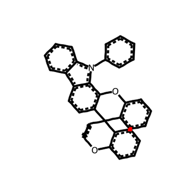 c1ccc(-n2c3ccccc3c3ccc4c(c32)Oc2ccccc2C42c3ccccc3Oc3ccccc32)cc1